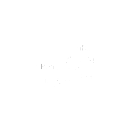 CCCCCc1cc(CCCC)c(CC)c(O)c1OC(=O)O